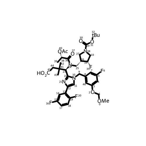 COCOc1cc(F)cc(Cn2cc(-c3cc(F)ccc3F)nc2[C@H](N(C[C@@H]2CN(C(=O)OC(C)(C)C)C[C@@H]2F)C(=O)[C@H](C)OC(C)=O)C(C)(C)CC(=O)O)c1